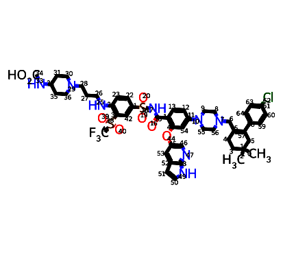 CC1(C)CCC(CN2CCN(c3ccc(C(=O)NS(=O)(=O)c4ccc(NCCCN5CCC(NC(=O)O)CC5)c(S(=O)(=O)C(F)(F)F)c4)c(Oc4cnc5[nH]ccc5c4)c3)CC2)=C(c2ccc(Cl)cc2)C1